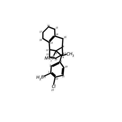 Bc1cc(C(C)C2(OC)C3CCCC2C2=C(CCCC2)C3)ccc1Cl